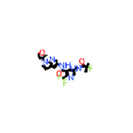 CC(C)(F)C(=O)NCc1cnc(C(F)F)c(C(=O)Nc2cnc3c(ccn3[C@H]3CCOC3)c2)c1